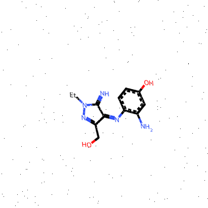 CCN1N=C(CO)C(=Nc2ccc(O)cc2N)C1=N